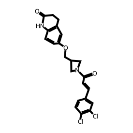 O=C1CCc2cc(OCC3CN(C(=O)C=Cc4ccc(Cl)c(Cl)c4)C3)ccc2N1